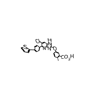 Cc1ccc(Oc2nc3nc(-c4ccc(-c5cccs5)cc4)c(Cl)cc3[nH]2)cc1C(=O)O